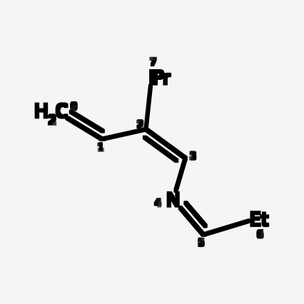 C=C/C(=C\N=C/CC)C(C)C